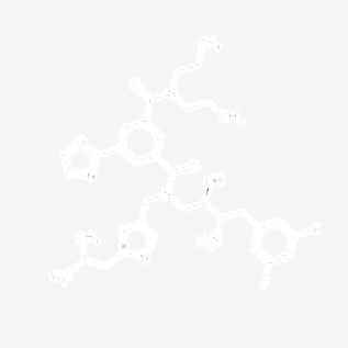 CCCN(CCC)C(=O)c1cc(C(=O)N(Cc2cnc(CC(C)C)s2)C[C@@H](O)[C@@H](N)Cc2cc(F)cc(F)c2)cc(-c2ncco2)c1